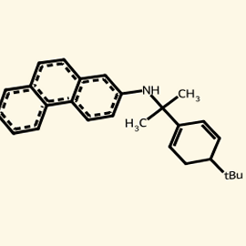 CC(C)(Nc1ccc2c(ccc3ccccc32)c1)C1=CCC(C(C)(C)C)C=C1